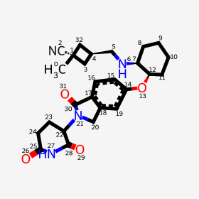 C[C@]1(C#N)C[C@H](CN[C@H]2CCCC[C@H]2Oc2ccc3c(c2)CN(C2CCC(=O)NC2=O)C3=O)C1